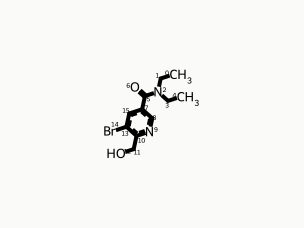 CCN(CC)C(=O)c1cnc(CO)c(Br)c1